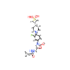 O=C(NCC1CN(c2ccc(N3CCC(C4CS(O)(O)C4)CC3)c(F)c2)C(=O)O1)C1CC1